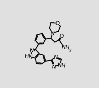 NC(=O)CC(c1cccc(-c2n[nH]c3ccc(-c4nc[nH]n4)cc23)c1)N1CCOCC1